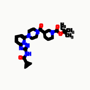 CC(C)(C)OC(=O)N1CCCC(C(=O)N2CCN(c3cccc4nc(NC(=O)C5CC5)nn34)CC2)C1